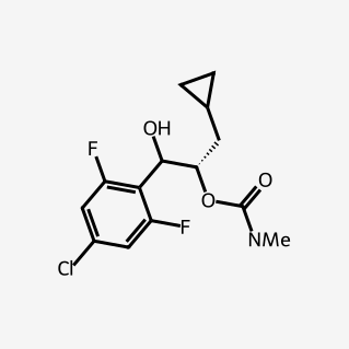 CNC(=O)O[C@@H](CC1CC1)C(O)c1c(F)cc(Cl)cc1F